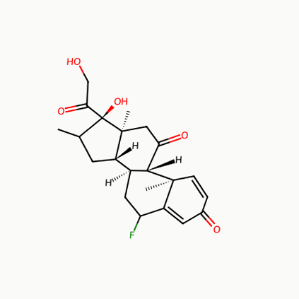 CC1C[C@H]2[C@@H]3CC(F)C4=CC(=O)C=C[C@]4(C)[C@H]3C(=O)C[C@]2(C)[C@@]1(O)C(=O)CO